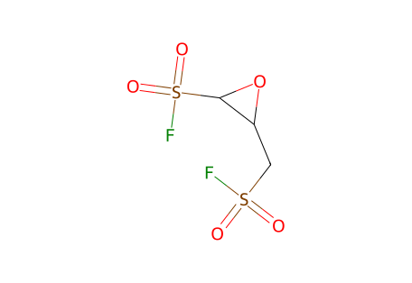 O=S(=O)(F)CC1OC1S(=O)(=O)F